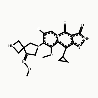 CO/N=C1\CN(c2c(F)cn3c(=O)c4c(=O)[nH]sc4c(C4CC4)c3c2OC)CC12CNC2